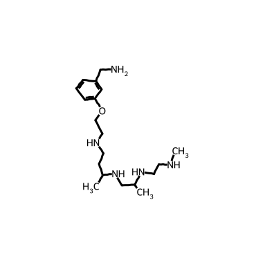 CNCCNC(C)CNC(C)CCNCCOc1cccc(CN)c1